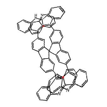 C1=CC2=C(c3ccc4c(c3)C3(c5cc(-c6c7ccccc7nc7ccccc67)ccc5-4)c4cc(-c5c6ccccc6nc6ccccc56)ccc4-c4ccc(-c5c6ccccc6nc6ccccc56)cc43)c3ccccc3NC2C=C1